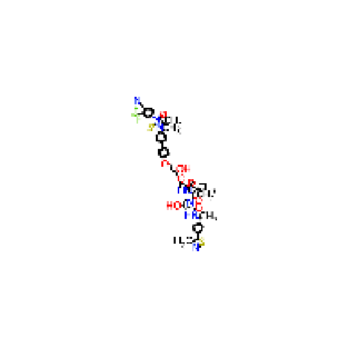 Cc1ncsc1-c1ccc([C@H](C)NC(=O)[C@@H]2C[C@@H](O)CN2C(=O)[C@@H](NC(=O)COC[C@H](O)CCOc2ccc(-c3ccc(N4C(=S)N(c5ccc(C#N)c(C(F)(F)F)c5)C(=O)C4(C)C)cc3)cc2)C(C)(C)C)cc1